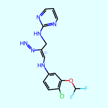 N=N/C(=C\Nc1ccc(Cl)c(OC(F)F)c1)CNc1ncccn1